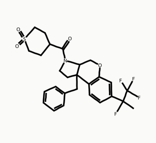 CC(F)(c1ccc2c(c1)OCC1N(C(=O)C3CCS(=O)(=O)CC3)CCC21Cc1ccccc1)C(F)(F)F